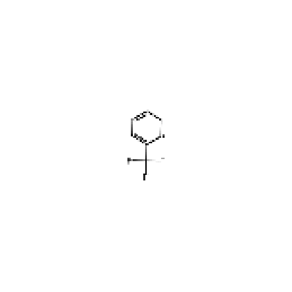 FC(F)(F)C1=CC=CC[C]1